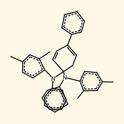 Cc1ccc(N(c2ccccc2)C2(N(c3ccccc3)c3ccc(C)cc3C)C=CC(c3ccccc3)=CC2)c(C)c1